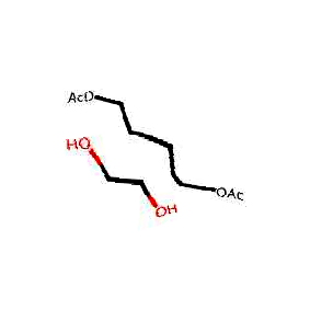 CC(=O)OCCCCOC(C)=O.OCCO